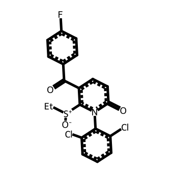 CC[S+]([O-])c1c(C(=O)c2ccc(F)cc2)ccc(=O)n1-c1c(Cl)cccc1Cl